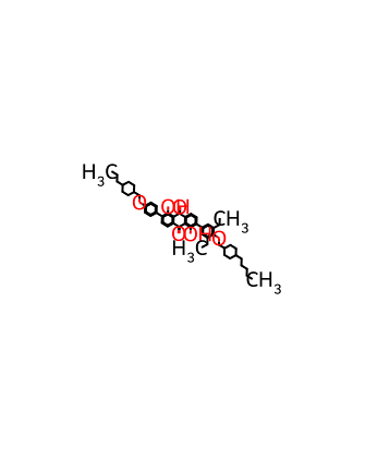 CCCCCC1CCC(COc2c(CC)cc(-c3ccc4c(c3O)C(=O)c3ccc(-c5ccc(OCC6CCC(CCC)CC6)cc5)c(O)c3C4=O)cc2CC)CC1